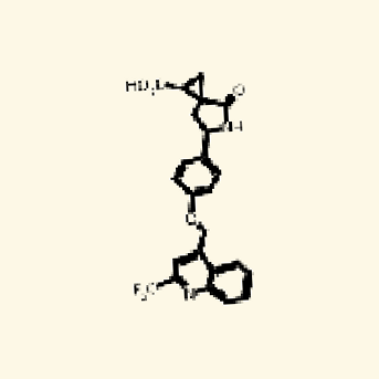 O=C(O)[C@H]1C[C@@]12CC(c1ccc(OCc3cc(C(F)(F)F)nc4ccccc34)cc1)NC2=O